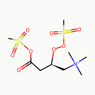 C[N+](C)(C)C[C@@H](CC(=O)OS(C)(=O)=O)OOS(C)(=O)=O